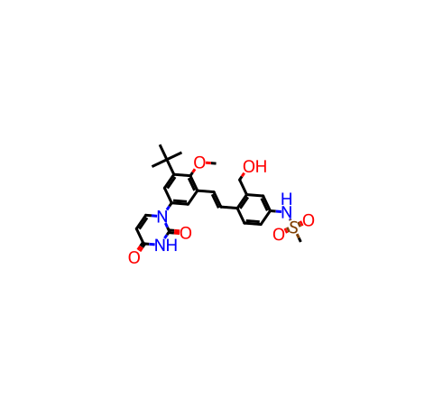 COc1c(C=Cc2ccc(NS(C)(=O)=O)cc2CO)cc(-n2ccc(=O)[nH]c2=O)cc1C(C)(C)C